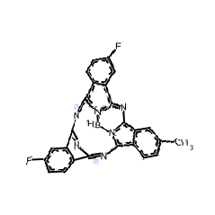 Cc1ccc2c3n4c(c2c1)N=c1c2cc(F)ccc2/c(n1B4)=N/C1=NC(=N\3)/c2ccc(F)cc21